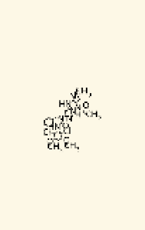 C=CC(=O)Nc1cn(C)nc1Nc1cc(N(Cc2ccccc2)C(=O)Nc2c(Cl)c(OC)cc(OC)c2Cl)ncn1